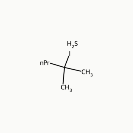 CCCC(C)(C)I.S